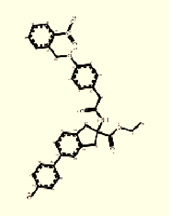 CCOC(=O)C1(NC(=O)Cc2ccc(OCc3ccccc3[N+](=O)[O-])cc2)Cc2ccc(-c3ccc(Cl)cc3)cc2C1